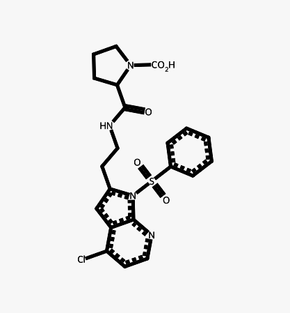 O=C(NCCc1cc2c(Cl)ccnc2n1S(=O)(=O)c1ccccc1)C1CCCN1C(=O)O